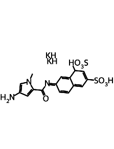 Cn1cc(N)cc1C(=O)/N=C1\C=CC2=CC(S(=O)(=O)O)=CC(S(=O)(=O)O)C2=C1.[KH].[KH]